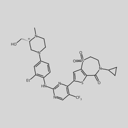 CCc1cc(N2CCN(C)[C@@H](CO)C2)ccc1Nc1ncc(C(F)(F)F)c(-c2cc3c(s2)C(=O)N(C2CC2)CCS3(=O)=O)n1